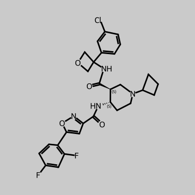 O=C(N[C@H]1CCN(C2CCC2)C[C@@H]1C(=O)NC1(c2cccc(Cl)c2)COC1)c1cc(-c2ccc(F)cc2F)on1